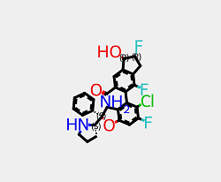 NC(=O)c1cc2c(c(F)c1-c1c(Cl)c(F)cc3c1C[C@](c1ccccc1)([C@@H]1CCCN1)O3)C[C@@H](F)[C@@H]2O